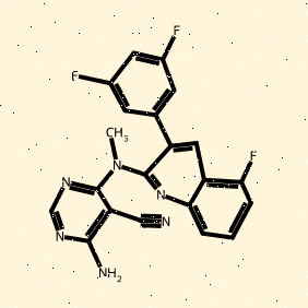 CN(c1nc2cccc(F)c2cc1-c1cc(F)cc(F)c1)c1ncnc(N)c1C#N